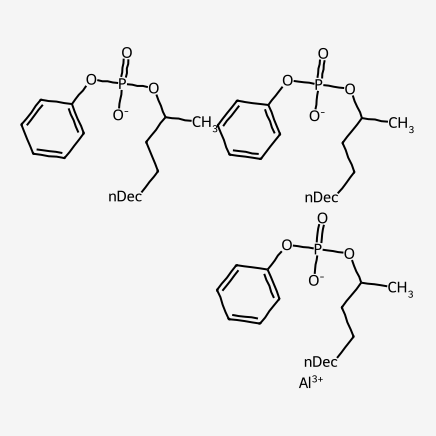 CCCCCCCCCCCCC(C)OP(=O)([O-])Oc1ccccc1.CCCCCCCCCCCCC(C)OP(=O)([O-])Oc1ccccc1.CCCCCCCCCCCCC(C)OP(=O)([O-])Oc1ccccc1.[Al+3]